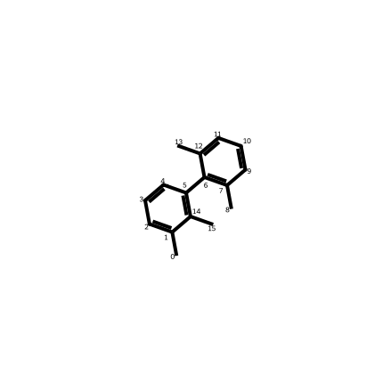 Cc1cc[c]c(-c2c(C)cccc2C)c1C